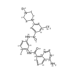 CCN1CCN(c2cc(C(=O)Nc3ccc(C)c(NC(=O)c4cccc5c(N)ncnc45)c3)cc(C(F)(F)F)c2)CC1